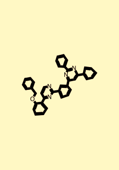 c1ccc(COc2ccccc2-c2ccnc(-c3cccc(-c4cc(-c5ccccc5)nc(-c5ccccc5)n4)c3)n2)cc1